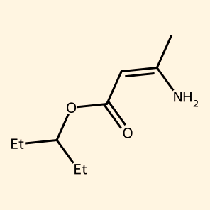 CCC(CC)OC(=O)/C=C(/C)N